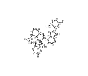 C[C@@]1(O)CNCC[C@H]1Nc1nc(-c2ccnc3[nH]c(-c4cc(F)ccc4Cl)cc23)nc2cncc(C3CC3)c12